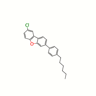 CCCCCCc1ccc(-c2ccc3c(c2)oc2ccc(Cl)cc23)cc1